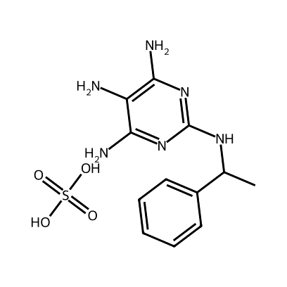 CC(Nc1nc(N)c(N)c(N)n1)c1ccccc1.O=S(=O)(O)O